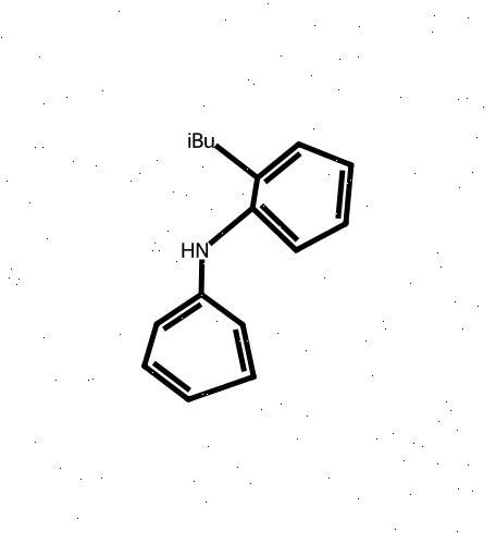 CCC(C)c1ccccc1Nc1ccccc1